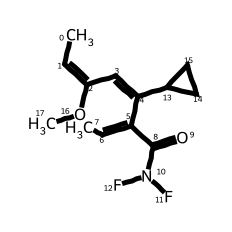 C\C=C(/C=C(\C(=C/C)C(=O)N(F)F)C1CC1)OC